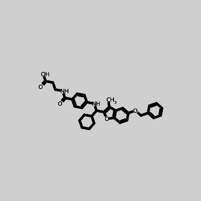 Cc1c(C(Nc2ccc(C(=O)NCCC(=O)O)cc2)C2CCCCC2)oc2ccc(OCc3ccccc3)cc12